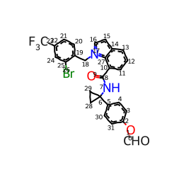 O=COc1ccc(C2(NC(=O)c3cccc4ccn(Cc5ccc(C(F)(F)F)cc5Br)c34)CC2)cc1